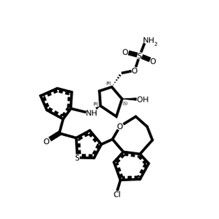 NS(=O)(=O)OC[C@H]1C[C@@H](Nc2ccccc2C(=O)c2cc(C3OCCCc4ccc(Cl)cc43)cs2)C[C@@H]1O